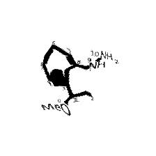 COC(C)c1ccccc1NN